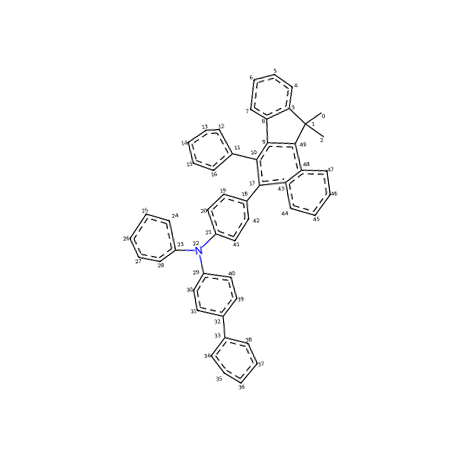 CC1(C)c2ccccc2-c2c(-c3ccccc3)c(-c3ccc(N(c4ccccc4)c4ccc(-c5ccccc5)cc4)cc3)c3ccccc3c21